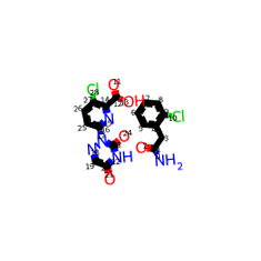 NC(=O)Cc1ccccc1Cl.O=C(O)c1nc(-n2ncc(=O)[nH]c2=O)ccc1Cl